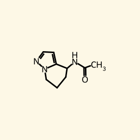 CC(=O)NC1CCCn2nccc21